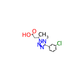 CC(CC(=O)O)n1nnc(-c2cccc(Cl)c2)n1